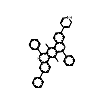 Cc1c2c(-c3ccccc3)nc3cc(-c4ccccc4)ccc3c2c(C)c2c(-c3ccccc3)nc3cc(C4=CCNC=C4)ccc3c12